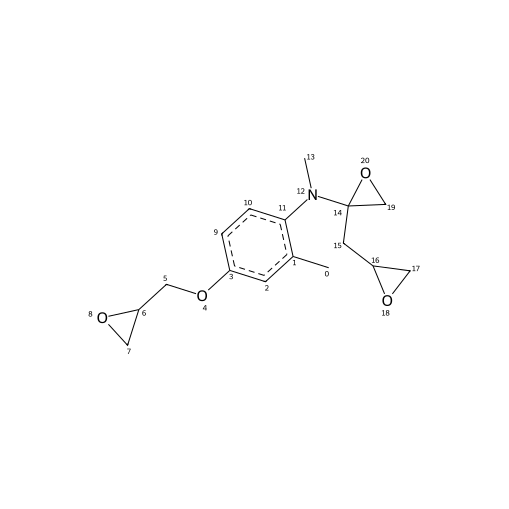 Cc1cc(OCC2CO2)ccc1N(C)C1(CC2CO2)CO1